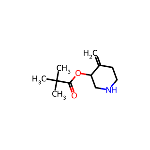 C=C1CCNCC1OC(=O)C(C)(C)C